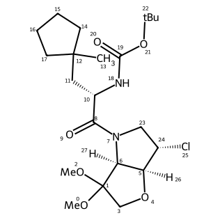 COC1(OC)CO[C@H]2[C@@H]1N(C(=O)[C@H](CC1(C)CCCC1)NC(=O)OC(C)(C)C)C[C@@H]2Cl